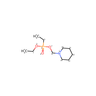 CCOP(=O)(CC)OCN1CCCCC1